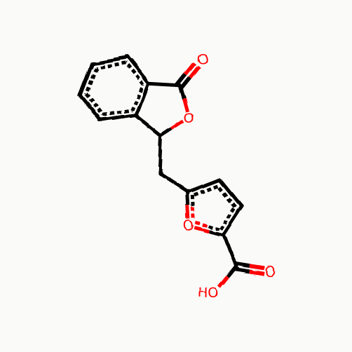 O=C(O)c1ccc(CC2OC(=O)c3ccccc32)o1